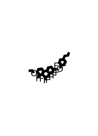 CCCc1ccc(OC(F)(F)c2ccc3c(c2F)C(F)(F)C(F)(F)c2c-3ccc(OCC)c2F)cc1